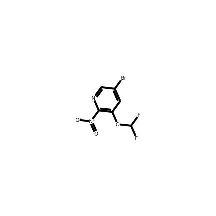 O=[N+]([O-])c1ncc(Br)cc1OC(F)F